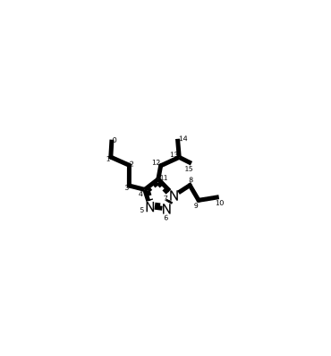 CCCCc1nnn(CCC)c1CC(C)C